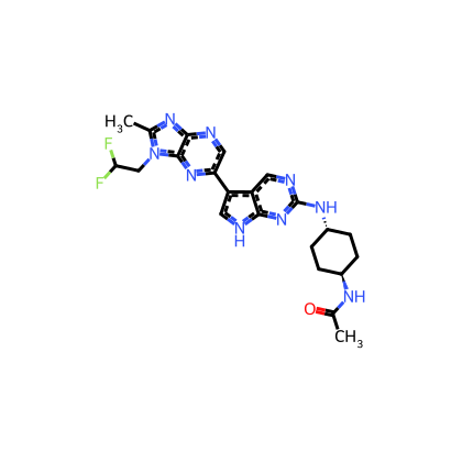 CC(=O)N[C@H]1CC[C@H](Nc2ncc3c(-c4cnc5nc(C)n(CC(F)F)c5n4)c[nH]c3n2)CC1